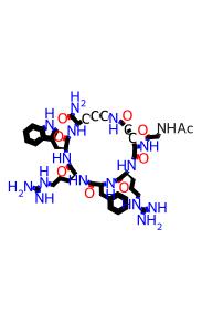 CC(=O)NCC(=O)NC1CCC(=O)NCCCC(C(N)=O)NC(=O)[C@H](Cc2c[nH]c3ccccc23)NC(=O)[C@H](CCCNC(=N)N)NC(=O)C(Cc2ccccc2)NC(=O)[C@H](CCCNC(=N)N)NC1=O